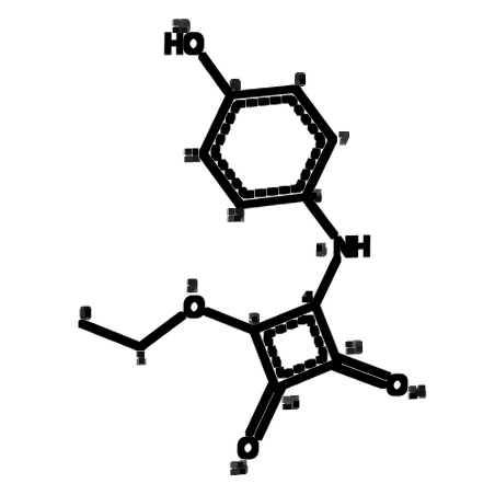 CCOc1c(Nc2ccc(O)cc2)c(=O)c1=O